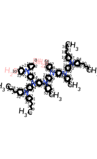 Bc1ccc(N(c2ccc(B)cc2)c2ccc(N(c3ccc(N(c4ccc(CCCC)cc4)c4ccc(CCCC)cc4)cc3)c3ccc(N(c4ccc(C)cc4)c4ccc(N(c5ccc(B)cc5)c5ccc(N(c6ccc(C)cc6)c6ccc(N(c7ccc(CCCC)cc7)c7ccc(CCCC)cc7)cc6)cc5)cc4)cc3)cc2)cc1